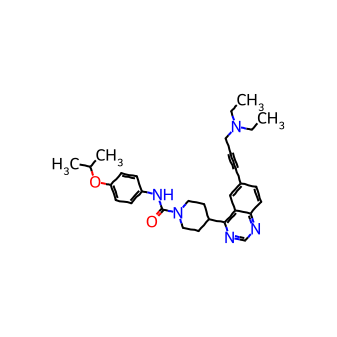 CCN(CC)CC#Cc1ccc2ncnc(C3CCN(C(=O)Nc4ccc(OC(C)C)cc4)CC3)c2c1